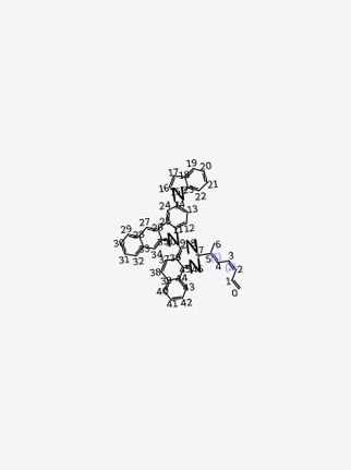 C=C/C=C\C=C(/C)c1nc(-n2c3ccc(-n4ccc5ccccc54)cc3c3cc4ccccc4cc32)c2ccc3ccccc3c2n1